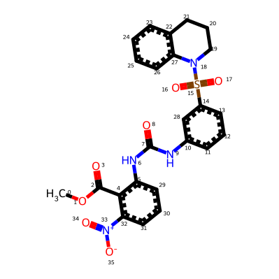 COC(=O)c1c(NC(=O)Nc2cccc(S(=O)(=O)N3CCCc4ccccc43)c2)cccc1[N+](=O)[O-]